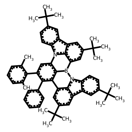 Cc1cccc(C)c1-c1cc2c3c(c1-c1ccccc1)-c1cc(C(C)(C)C)cc4c5cc(C(C)(C)C)ccc5n(c14)B3c1cc(C(C)(C)C)cc3c4cc(C(C)(C)C)ccc4n-2c13